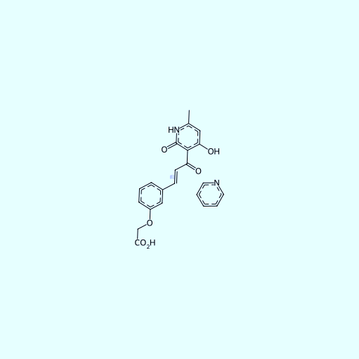 Cc1cc(O)c(C(=O)/C=C/c2cccc(OCC(=O)O)c2)c(=O)[nH]1.c1ccncc1